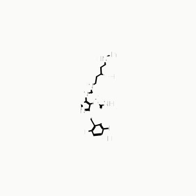 Cc1cc(F)c(COc2nsc(NC(=O)NCCC(O)CCNC(C)C)c2OC(N)=O)c(F)c1F